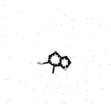 Cc1c(C(C)(C)C)ccc2ccsc12